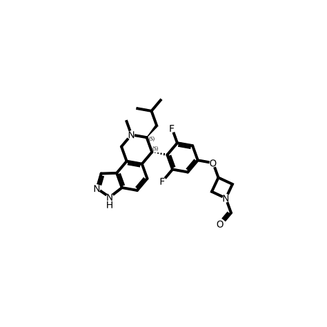 CC(C)C[C@H]1[C@H](c2c(F)cc(OC3CN(C=O)C3)cc2F)c2ccc3[nH]ncc3c2CN1C